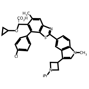 Cc1cc2nc(-c3ccc4c(c3)c(C3CN(C(C)C)C3)cn4C)sc2c(-c2ccc(Cl)cc2)c1[C@H](OC1CC1)C(=O)O